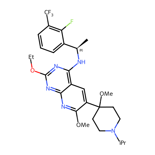 CCOc1nc(N[C@H](C)c2cccc(C(F)(F)F)c2F)c2cc(C3(OC)CCN(C(C)C)CC3)c(OC)nc2n1